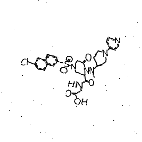 CN(C1CCN(c2ccncc2)CC1)N1C(=O)CN(S(=O)(=O)c2ccc3cc(Cl)ccc3c2)CC1C(=O)NCC(=O)O